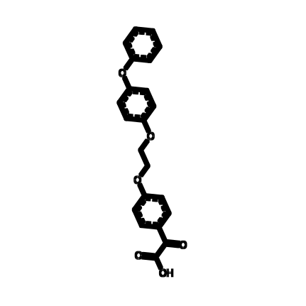 O=C(O)C(=O)c1ccc(OCCOc2ccc(Oc3ccccc3)cc2)cc1